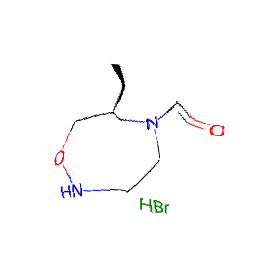 Br.C[C@@H]1CONCCN1C=O